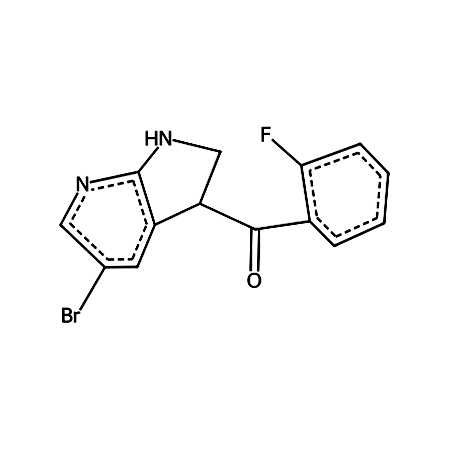 O=C(c1ccccc1F)C1CNc2ncc(Br)cc21